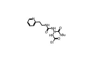 CCCCC(=O)N(NC(=O)CC)NC(=O)NCCc1ccccn1